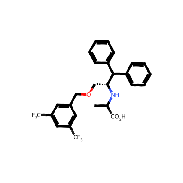 CC(N[C@H](COCc1cc(C(F)(F)F)cc(C(F)(F)F)c1)C(c1ccccc1)c1ccccc1)C(=O)O